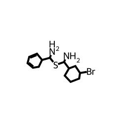 NC(SC(N)C1CCCC(Br)C1)C1C=CC=CC1